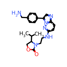 CC(C)C1COC(=O)N1CCNc1ccc2ncc(-c3ccc(CN)cc3)n2n1